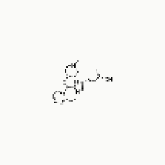 CN1CCC(OC2c3ccccc3CCn3cc(/C=C/C(=O)O)nc32)CC1